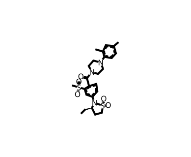 CC[C@@H]1CCS(=O)(=O)N1c1ccc(C(=O)N2CCN(c3ccc(C)cc3C)CC2)c(S(C)(=O)=O)c1